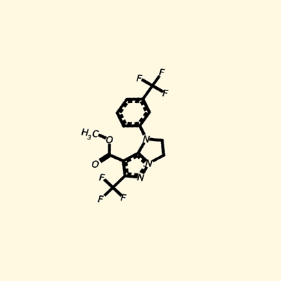 COC(=O)c1c(C(F)(F)F)nn2c1N(c1cccc(C(F)(F)F)c1)CC2